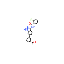 CC(=O)c1cccc(-c2ccc3c(NC(=O)c4ccccc4F)n[nH]c3c2)c1